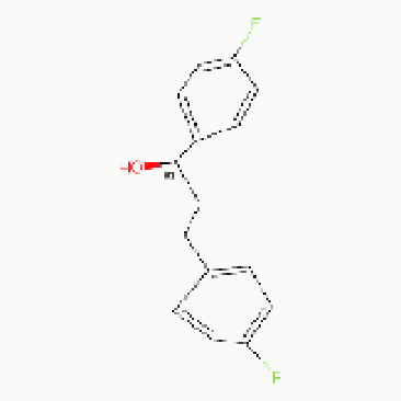 O[C@H](CCc1ccc(F)cc1)c1ccc(F)cc1